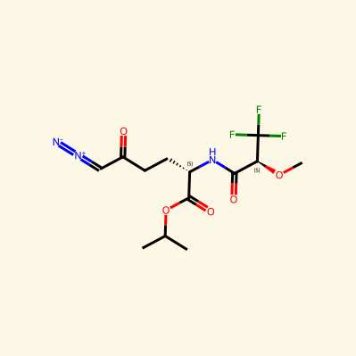 CO[C@@H](C(=O)N[C@@H](CCC(=O)C=[N+]=[N-])C(=O)OC(C)C)C(F)(F)F